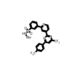 CC(C)(C)NS(=O)(=O)c1cccc(-c2cc(-c3nc(-c4ccc(C(F)(F)F)cc4)cc(C(F)(F)F)n3)ccn2)c1